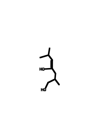 CC(C)C=C(O)CC(C)CO